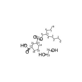 CCCCCC(CCC)COC(=O)C1CCCC(C(=O)O)C1.OCCO